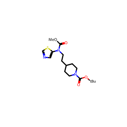 COC(=O)N(CCC1CCN(C(=O)OC(C)(C)C)CC1)c1cncs1